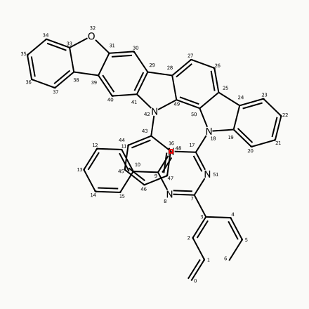 C=C/C=C(\C=C/C)c1nc(-c2ccccc2)nc(-n2c3ccccc3c3ccc4c5cc6oc7ccccc7c6cc5n(-c5ccccc5)c4c32)n1